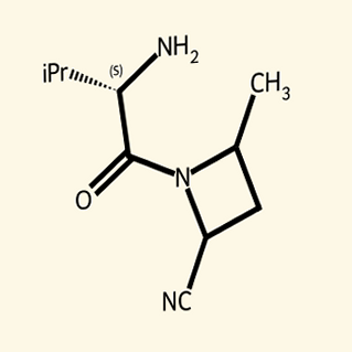 CC(C)[C@H](N)C(=O)N1C(C)CC1C#N